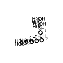 Cc1ccccc1.Cc1ccccc1.Cc1ccccc1.Cc1ccccc1.O=P(O)(O)O.O=P(O)(O)O.O=P(O)(O)O.O=P(O)(O)O